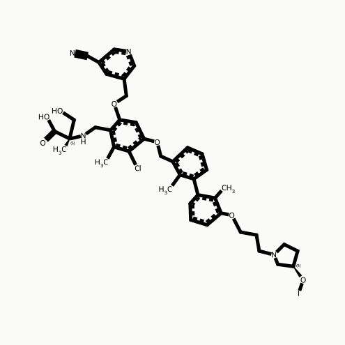 Cc1c(COc2cc(OCc3cncc(C#N)c3)c(CN[C@@](C)(CO)C(=O)O)c(C)c2Cl)cccc1-c1cccc(OCCCN2CC[C@@H](OI)C2)c1C